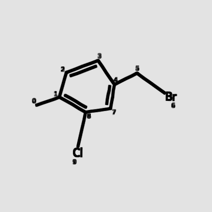 Cc1ccc(CBr)cc1Cl